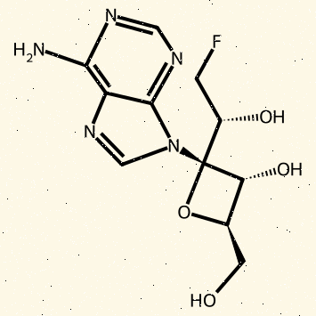 Nc1ncnc2c1ncn2[C@]1([C@@H](O)CF)O[C@H](CO)[C@H]1O